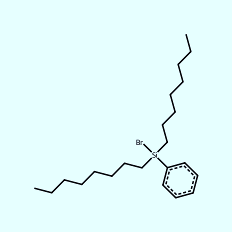 CCCCCCCC[Si](Br)(CCCCCCCC)c1ccccc1